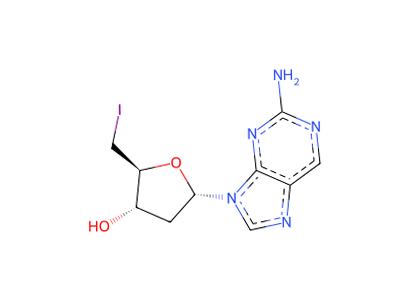 Nc1ncc2ncn([C@@H]3C[C@H](O)[C@@H](CI)O3)c2n1